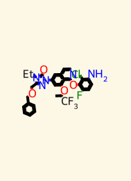 CCn1c(COCc2ccccc2)nn(-c2cc(OC(C)C(F)(F)F)c3c(Oc4c(F)ccc(N)c4Cl)nccc3c2)c1=O